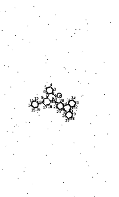 O=C1c2ccccc2C2C=C(c3ccccc3)C=CC2N1c1ccc2c3ccccc3c3ccccc3c2c1